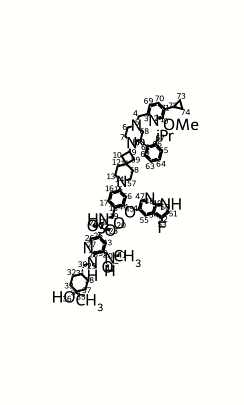 COc1nc(CN2CCN(C3CC4(CCN(c5ccc(C(=O)NS(=O)(=O)c6cnc(NC[C@H]7CC[C@](C)(O)CC7)c([NH+](C)[O-])c6)c(Oc6cnc7[nH]cc(F)c7c6)c5)CC4)C3)[C@H](c3ccccc3C(C)C)C2)ccc1C1CC1